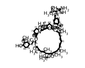 CO[C@@H]1C[C@@H](CC(C)[C@@H]2CC(=O)[C@H](C)/C=C(\C)[C@@H](O)[C@@H](OC)C(=O)[C@H](C)C[C@H](C)/C=C/C=C/C=C(/C)C(NS(=O)(=O)c3ccc(CN/C(=N\C(=N)N)N(C)C)cc3)C[C@@H]3CC[C@@H](C)[C@@](O)(O3)C(=O)C(=O)N3CCCC[C@H]3C(=O)O2)CC[C@H]1O